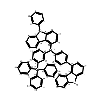 c1ccc(-n2c3ccccc3c3c(N(c4ccc(-c5cccc6oc7ccccc7c56)cc4)c4cccc([Si](c5ccccc5)(c5ccccc5)c5ccccc5)c4)cccc32)cc1